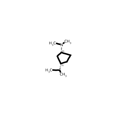 CC(C)[C@H]1CC[C@@H](N(C)C)C1